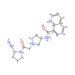 N#CC1CCCN1C(=O)CN1CCC(NC(=O)c2cccc3cccnc23)C1